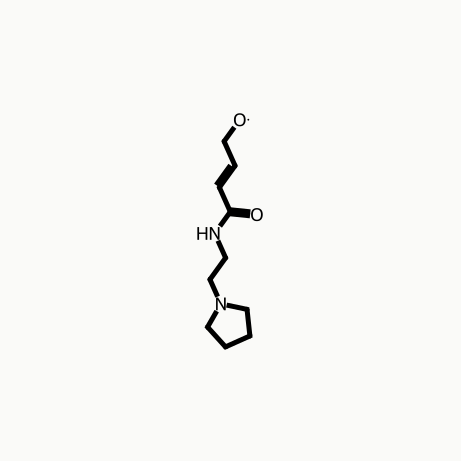 [O]CC=CC(=O)NCCN1CCCC1